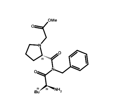 CC[C@H](C)[C@H](N)C(=O)N(Cc1ccccc1)C(=O)[C@@H]1CCCN1CC(=O)OC